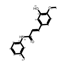 COc1ccc(C=CC(=O)Nc2cccc(I)c2)cc1O